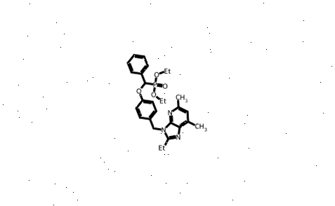 CCOP(=O)(OCC)C(Oc1ccc(Cn2c(CC)nc3c(C)cc(C)nc32)cc1)c1ccccc1